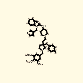 COc1cc(CN2CCC(CCN3CCC(Nc4nc5ccccc5n4Cc4ccoc4)CC3)(Cc3ccc(F)cc3)C2=O)cc(OC)c1OC